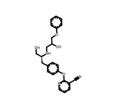 N#Cc1cccnc1Oc1ccc(C[C@@H](CO)NCC(O)COc2ccccc2)cc1